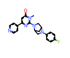 Cn1c(N2CC3CC2CN3c2ccc(F)cc2)nc(-c2ccncc2)cc1=O